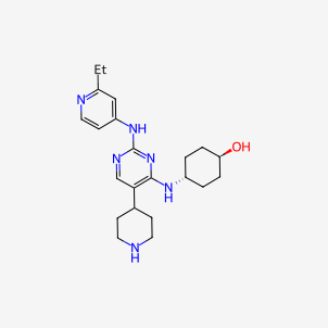 CCc1cc(Nc2ncc(C3CCNCC3)c(N[C@H]3CC[C@H](O)CC3)n2)ccn1